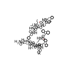 CC[C@H](C)[C@@H]([C@@H](CC(=O)N1CCC[C@H]1[C@H](OC)[C@@H](C)C(=O)N[C@@H](Cc1ccccc1)c1nccs1)OC)N(C)C(=O)[C@@H](NC(=O)C(C)(C)NC(=O)OCc1ccc(NC(=O)[C@H](CCCNC(N)=O)NC(=O)[C@@H](NC(=O)[C@H](CCCCNC(=O)OCC2c3ccccc3-c3ccccc32)NC(=O)[C@H](CC(=O)OC(C)(C)C)NC(=O)OCC2c3ccccc3-c3ccccc32)C(C)C)cc1)C(C)C